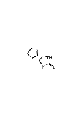 C1=NCCO1.O=C1NCCN1